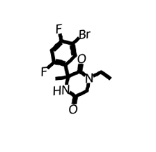 CCN1CC(=O)NC(C)(c2cc(Br)c(F)cc2F)C1=O